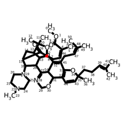 COC(=O)/C(C)=C\CC12OC(C)(C)C3CC(C1=O)C(N1CCN(C)CC1)C1C4=NCOC5C6=C(OC(C)(CCC=C(C)C)C=C6)C(CC=C(C)C)=C(OC132)C45